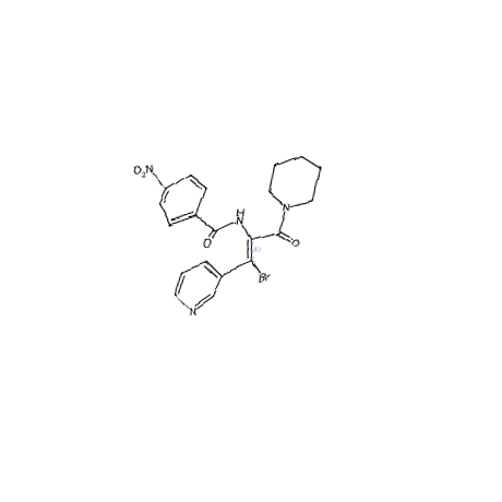 O=C(N/C(C(=O)N1CCCCC1)=C(/Br)c1cccnc1)c1ccc([N+](=O)[O-])cc1